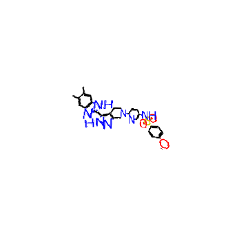 COc1ccc(S(=O)(=O)Nc2ccc(N3CCc4c(n[nH]c4-c4nc5cc(C)c(C)cc5[nH]4)C3)nc2)cc1